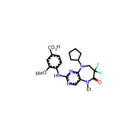 CCN1C(=O)C(F)(F)CN(C2CCCC2)c2nc(Nc3ccc(C(=O)O)cc3OC)ncc21